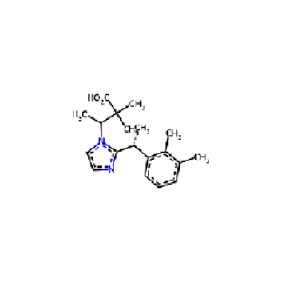 Cc1cccc([C@@H](C)c2nccn2C(C)C(C)(C)C(=O)O)c1C